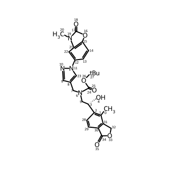 Cc1c([C@@H](O)CN(Cc2cnn(-c3ccc4oc(=O)n(C)c4c3)c2)C(=O)OC(C)(C)C)ccc2c1COC2=O